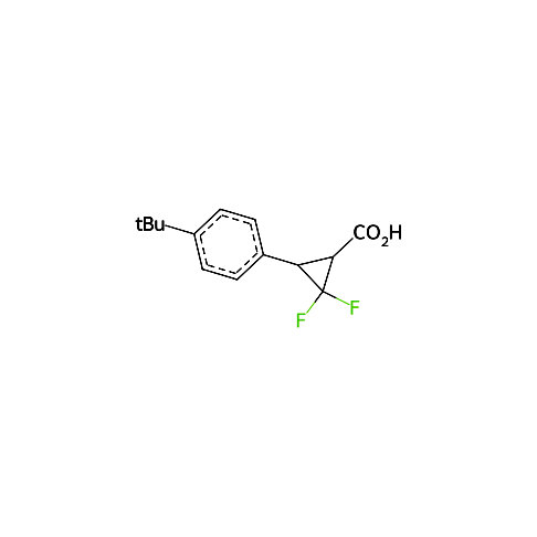 CC(C)(C)c1ccc(C2C(C(=O)O)C2(F)F)cc1